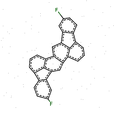 Fc1ccc2c(c1)c1cc3c(cc4c5cc(F)ccc5c5cccc3c54)c3cccc2c31